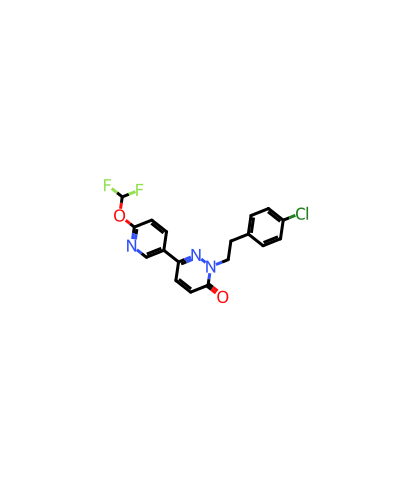 O=c1ccc(-c2ccc(OC(F)F)nc2)nn1CCc1ccc(Cl)cc1